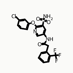 NS(=O)(=O)c1cc(NC(=O)Cc2ccccc2C(F)(F)F)cnc1Oc1cccc(Cl)c1